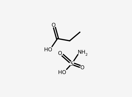 CCC(=O)O.NS(=O)(=O)O